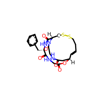 O=C1C[C@H]2/C=C/CCSSC[C@@H](NC(=O)CN1)C(=O)N[C@@H](Cc1ccccc1)C(=O)NCC(=O)O2